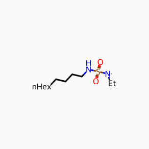 CCCCCCCCCCNS(=O)(=O)[N]CC